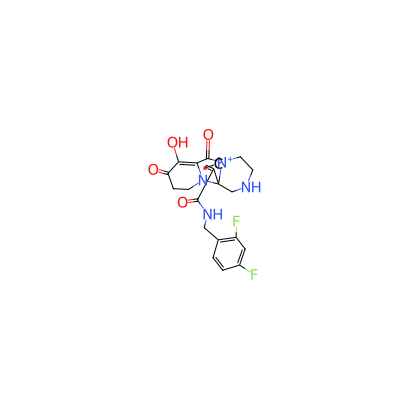 O=C1CCN2C(=C1O)C(=O)[N+]13CCC=C(C(=O)NCc4ccc(F)cc4F)C21CNCC3